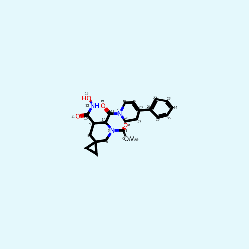 COC(=O)N1CC2(CC2)CC(C(=O)NO)C1C(=O)N1CC=C(c2ccccc2)CC1